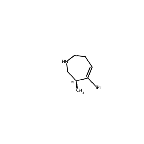 CC(C)C1=CCCNC[C@@H]1C